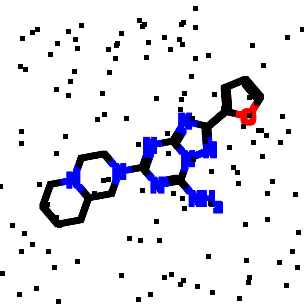 Nc1nc(N2CCN3CCCCC3C2)nc2nc(-c3ccco3)nn12